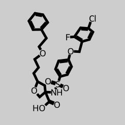 O=C(O)C1(NS(=O)(=O)c2ccc(OCc3ccc(Cl)cc3F)cc2)COC(CCCOCCc2ccccc2)C1